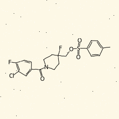 Cc1ccc(S(=O)(=O)OCC2(F)CCN(C(=O)c3ccc(F)c(Cl)c3)CC2)cc1